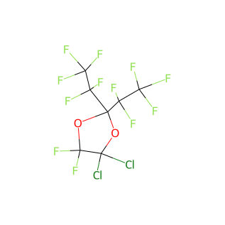 FC(F)(F)C(F)(F)C1(C(F)(F)C(F)(F)F)OC(F)(F)C(Cl)(Cl)O1